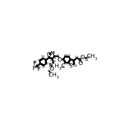 CCON=Cc1c(COc2ccc3c(CC(=O)OCC)csc3c2C)noc1-c1ccc(C(F)(F)F)cc1